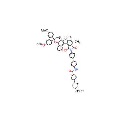 CCCCCC1CCC(c2ccc(C(=O)Nc3ccc(-c4ccc(N5C(=O)c6c(C)cc7c(c6C5O)-c5c(c6c(c8ccccc58)OC(c5ccc(OC)cc5)(c5ccc(OCCCC)cc5)C=C6)C7(C)C)cc4)cc3)cc2)CC1